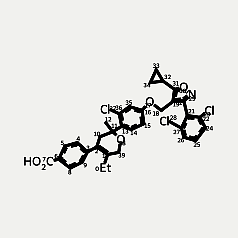 CCC1=C(c2ccc(C(=O)O)cc2)CC(C)(c2ccc(OCc3c(-c4c(Cl)cccc4Cl)noc3C3CC3)cc2Cl)OC1